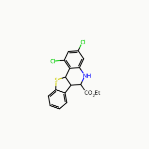 CCOC(=O)C1Nc2cc(Cl)cc(Cl)c2C2Sc3ccccc3C12